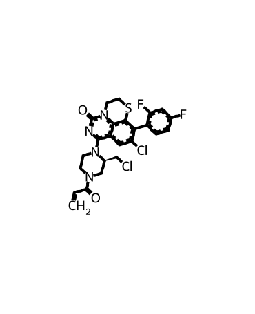 C=CC(=O)N1CCN(c2nc(=O)n3c4c(c(-c5ccc(F)cc5F)c(Cl)cc24)SCC3)[C@@H](CCl)C1